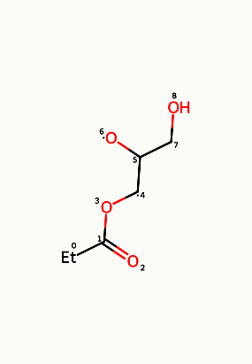 CCC(=O)O[CH]C([O])CO